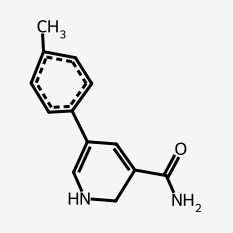 Cc1ccc(C2=CNCC(C(N)=O)=C2)cc1